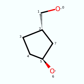 [O]C[C@H]1CC[C@H]([O])C1